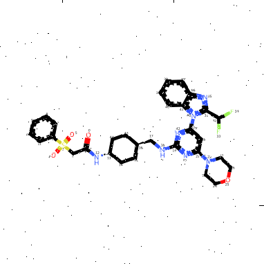 O=C(CS(=O)(=O)c1ccccc1)N[C@H]1CC[C@H](CNc2nc(N3CCOCC3)cc(-n3c(C(F)F)nc4ccccc43)n2)CC1